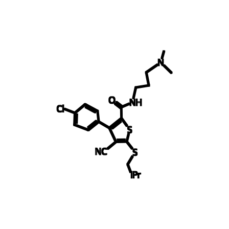 CC(C)CSc1sc(C(=O)NCCCN(C)C)c(-c2ccc(Cl)cc2)c1C#N